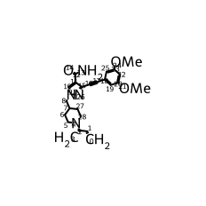 C=CC(=C)N1CCC(Cn2cc(C(N)=O)c(C#Cc3cc(OC)cc(OC)c3)n2)CC1